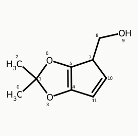 CC1(C)OC2=C(O1)C(CO)C=C2